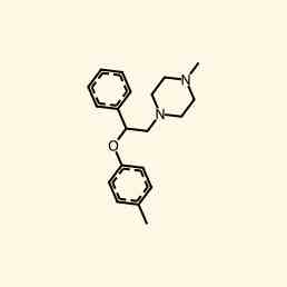 Cc1ccc(OC(CN2CCN(C)CC2)c2ccccc2)cc1